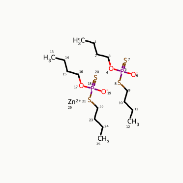 CCCCOP([O-])(=S)SCCCC.CCCCOP([O-])(=S)SCCCC.[Zn+2]